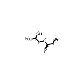 CC(C)CC(=O)OCC(C)O